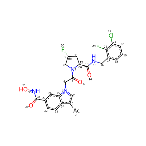 CC(=O)c1cn(CC(=O)N2C[C@H](F)C[C@H]2C(=O)NCc2cccc(Cl)c2F)c2cc(C(=O)NO)ccc12